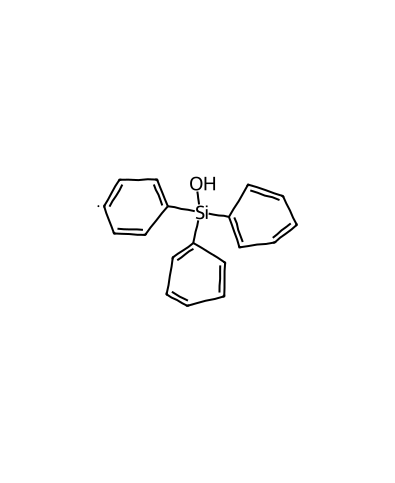 O[Si](c1cc[c]cc1)(c1ccccc1)c1ccccc1